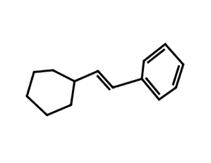 C(=C\c1ccccc1)/[C]1CCCCC1